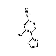 [C-]#[N+]c1ccc(-c2ccco2)c(O)c1